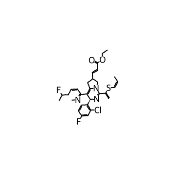 C=C(S/C=C\C)C1=N[C@@H](c2ccc(F)cc2Cl)C(C(/C=C\CC(C)F)=N/C)=C2CC(/C=C/C(=O)OCC)CN12